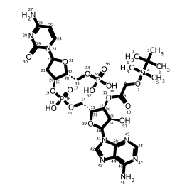 CC(C)(C)[Si](C)(C)OCC(=O)O[C@@H]1[C@@H](COP(=O)(O)O[C@H]2CC(n3ccc(N)nc3=O)O[C@@H]2COP(=O)(O)O)OC(n2cnc3c(N)ncnc32)[C@@H]1O